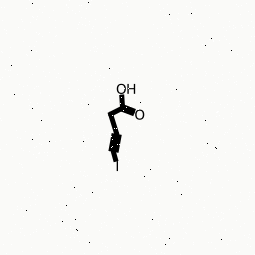 O=C(O)CC#CI